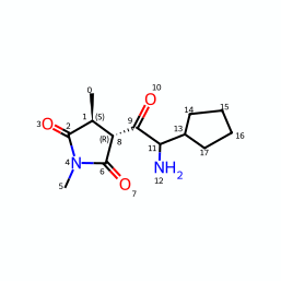 C[C@@H]1C(=O)N(C)C(=O)[C@H]1C(=O)C(N)C1CCCC1